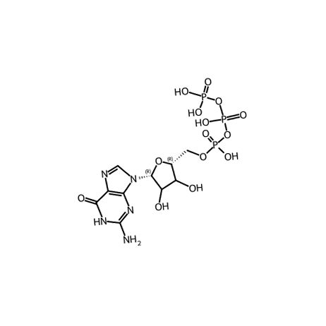 Nc1nc2c(ncn2[C@@H]2O[C@H](COP(=O)(O)OP(=O)(O)OP(=O)(O)O)C(O)C2O)c(=O)[nH]1